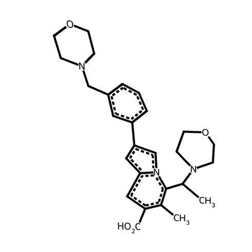 Cc1c(C(=O)O)cc2cc(-c3cccc(CN4CCOCC4)c3)cn2c1C(C)N1CCOCC1